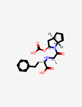 C[C@H](N[C@@H](CCc1ccccc1)C(=O)O)C(=O)N1[C@@H](OC(=O)O)C[C@H]2CC=C[C@@H]21